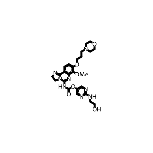 COc1c(OCCCN2CCOCC2)ccc2c1N=C(NC(=O)Oc1cnc(NCCO)nc1)N1CCN=C21